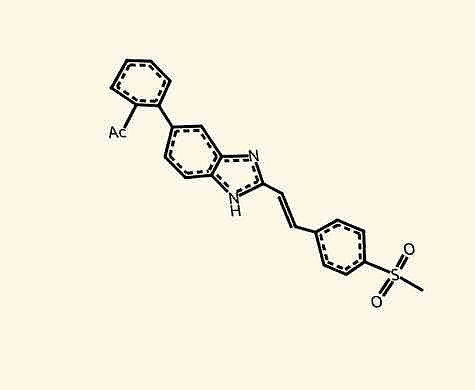 CC(=O)c1ccccc1-c1ccc2[nH]c(/C=C/c3ccc(S(C)(=O)=O)cc3)nc2c1